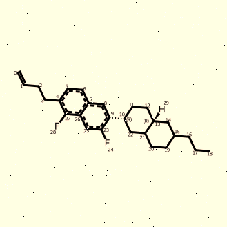 C=CCCc1ccc2cc([C@@H]3CC[C@@H]4CC(CCC)CCC4C3)c(F)cc2c1F